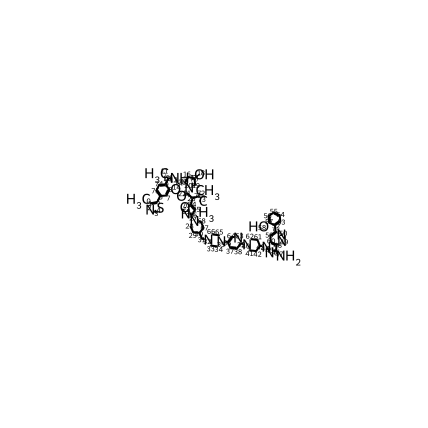 Cc1ncsc1-c1ccc([C@H](C)NC(=O)[C@@H]2C[C@@H](O)CN2C(=O)C(c2cc(N3CCC(CN4CCN(c5ccc(N6CCC(n7nc(N)c8nnc(-c9ccccc9O)cc87)CC6)nc5)CC4)CC3)no2)C(C)C)cc1